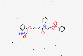 O=C1CC(OCCCCC(=O)N(CCOC(=O)c2ccccc2)C2CCCCC2)c2ccccc2N1